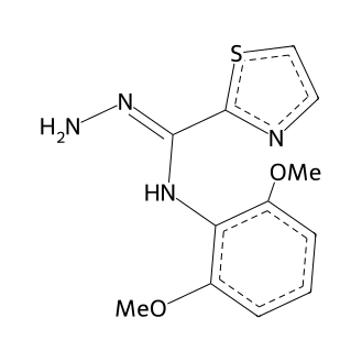 COc1cccc(OC)c1N/C(=N\N)c1nccs1